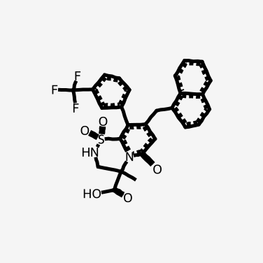 CC1(C(=O)O)CNS(=O)(=O)c2c(-c3cccc(C(F)(F)F)c3)c(Cc3cccc4ccccc34)cc(=O)n21